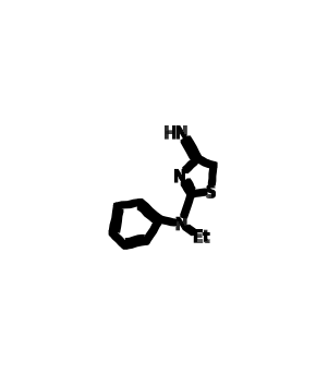 CCN(C1=NC(=N)CS1)c1ccccc1